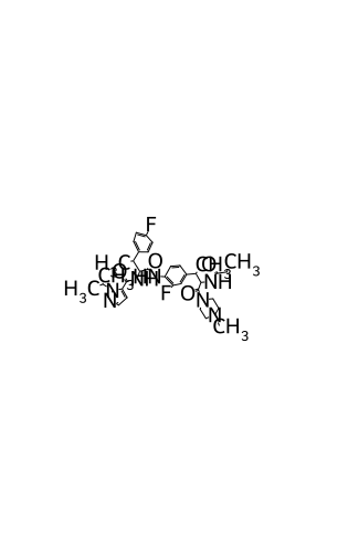 CCC(=O)NC(C(=O)N1CCN(C)CC1)C(C)c1ccc(NC(=O)C(NC(=O)c2ccnn2C(C)C)C(C)c2ccc(F)cc2)c(F)c1